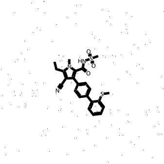 CCc1c(C#N)c(-c2ccc(-c3ccccc3SC)cc2)c(C(=O)NS(C)(=O)=O)n1C